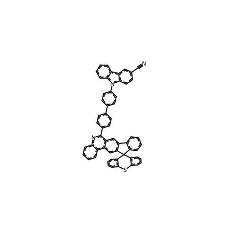 N#Cc1ccc2c(c1)c1ccccc1n2-c1ccc(-c2ccc(-c3nc4ccccc4c4cc5c(cc34)-c3ccccc3C53c4ccccc4Sc4ccccc43)cc2)cc1